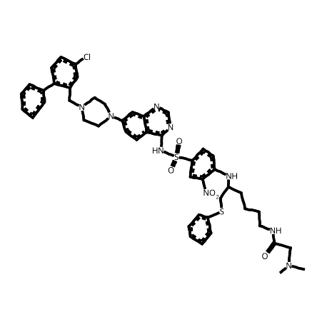 CN(C)CC(=O)NCCCCC(CSc1ccccc1)Nc1ccc(S(=O)(=O)Nc2ncnc3cc(N4CCN(Cc5cc(Cl)ccc5-c5ccccc5)CC4)ccc23)cc1[N+](=O)[O-]